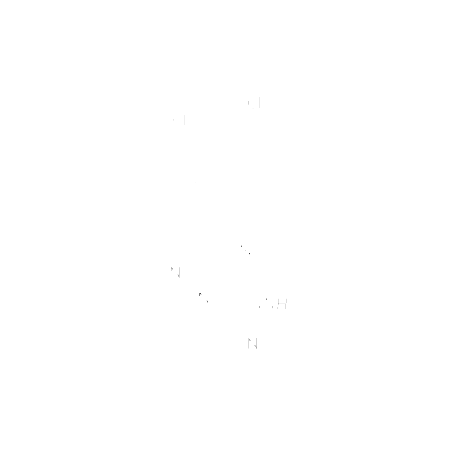 NNc1nncc(-c2ccc(Cl)c(Cl)c2)n1